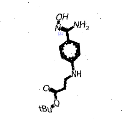 CC(C)(C)OC(=O)CCNc1ccc(/C(N)=N/O)cc1